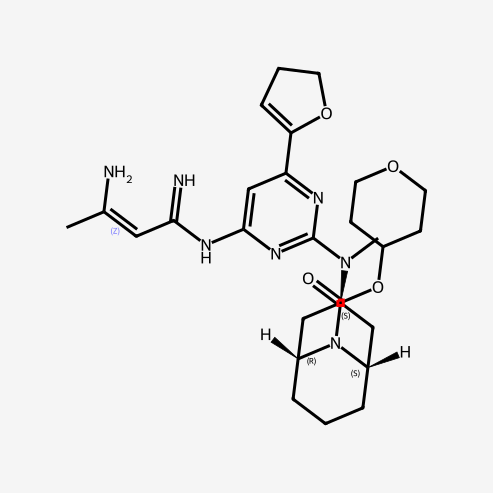 C/C(N)=C/C(=N)Nc1cc(C2=CCCO2)nc(N(C)[C@@H]2C[C@H]3CCC[C@@H](C2)N3C(=O)OC2CCOCC2)n1